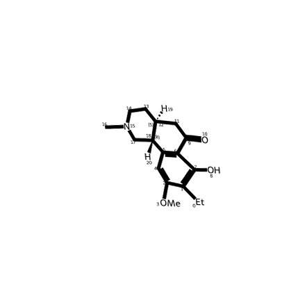 CCc1c(OC)cc2c(c1O)C(=O)C[C@@H]1CCN(C)C[C@@H]21